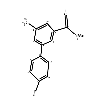 CNC(=O)c1cc(-c2ccc(F)cc2)cc(C(F)(F)F)c1